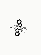 Cl.Cl.[CH2]=[Zr]([CH3])([c]1cc2ccccc2[nH]1)[CH]1C=Cc2ccccc21